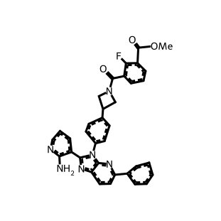 COC(=O)c1cccc(C(=O)N2CC(c3ccc(-n4c(-c5cccnc5N)nc5ccc(-c6ccccc6)nc54)cc3)C2)c1F